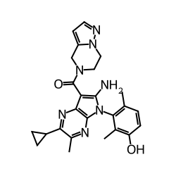 Cc1ccc(O)c(C)c1-n1c(N)c(C(=O)N2CCn3nccc3C2)c2nc(C3CC3)c(C)nc21